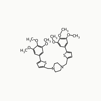 COc1cc(-c2ccc(CN3CCN(Cc4ccc(-c5cc(OC)c(OC)c(OC)c5)s4)CC3)s2)cc(OC)c1OC